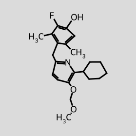 COCOc1ccc(Cc2c(C)cc(O)c(F)c2C)nc1C1CCCCC1